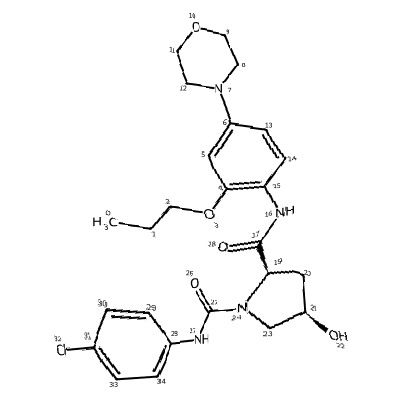 CCCOc1cc(N2CCOCC2)ccc1NC(=O)[C@H]1C[C@@H](O)CN1C(=O)Nc1ccc(Cl)cc1